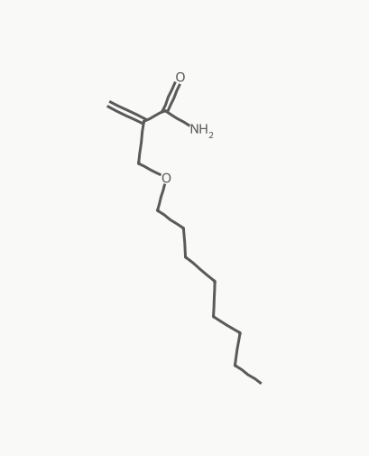 C=C(COCCCCCCCC)C(N)=O